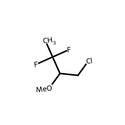 COC(CCl)C(C)(F)F